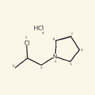 CC(Cl)CN1CCCC1.Cl